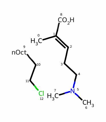 CC(=CCCN(C)C)C(=O)O.CCCCCCCCCCCl